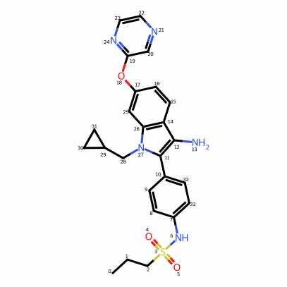 CCCS(=O)(=O)Nc1ccc(-c2c(N)c3ccc(Oc4cnccn4)cc3n2CC2CC2)cc1